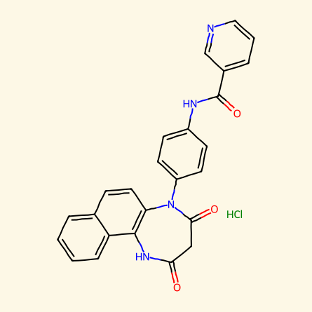 Cl.O=C1CC(=O)N(c2ccc(NC(=O)c3cccnc3)cc2)c2ccc3ccccc3c2N1